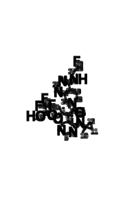 Cc1oc2ncnc(NC3(C)CC3)c2c1C(=O)N1CCc2c(ncnc2NCCF)C1.O=C(O)C(F)(F)F